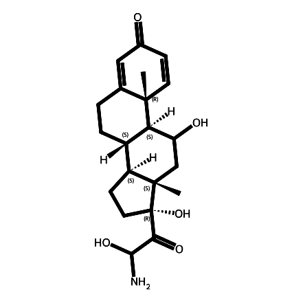 C[C@]12C=CC(=O)C=C1CC[C@@H]1[C@@H]2C(O)C[C@@]2(C)[C@H]1CC[C@]2(O)C(=O)C(N)O